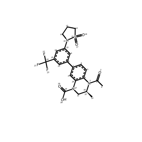 CC(=O)N1c2ccc(-c3cc(N4CCCS4(=O)=O)cc(C(F)(F)F)c3)cc2N(C(=O)O)C[C@@H]1C